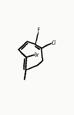 C\C1=C(Br)/C=C\C(F)=C(\Cl)CC1